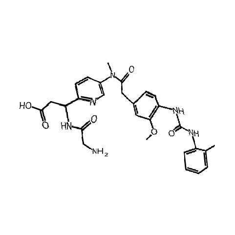 COc1cc(CC(=O)N(C)c2ccc(C(CC(=O)O)NC(=O)CN)nc2)ccc1NC(=O)Nc1ccccc1C